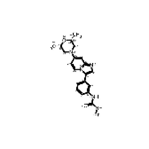 CCNC(=O)Nc1cccc(-c2cnc3cc(N4C[C@@H](C)O[C@@H](C)C4)ccn23)c1